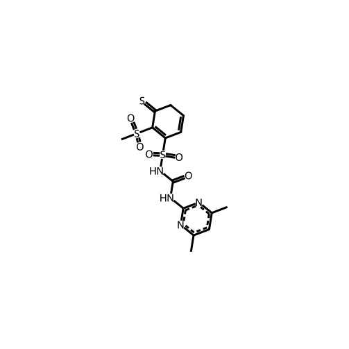 Cc1cc(C)nc(NC(=O)NS(=O)(=O)C2=C(S(C)(=O)=O)C(=S)CC=C2)n1